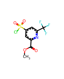 COC(=O)c1cc(S(=O)(=O)Cl)cc(C(F)(F)F)n1